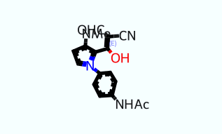 CNc1ccn(-c2ccc(NC(C)=O)cc2)c1/C(O)=C(/C#N)C=O